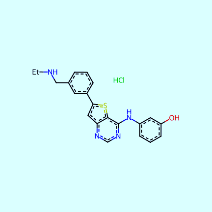 CCNCc1cccc(-c2cc3ncnc(Nc4cccc(O)c4)c3s2)c1.Cl